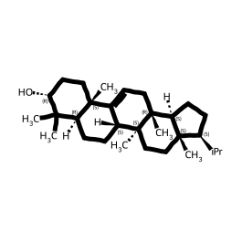 CC(C)[C@@H]1CC[C@H]2[C@@]1(C)CC[C@@]1(C)[C@@H]3CC[C@H]4C(C)(C)[C@H](O)CC[C@]4(C)C3=CC[C@]21C